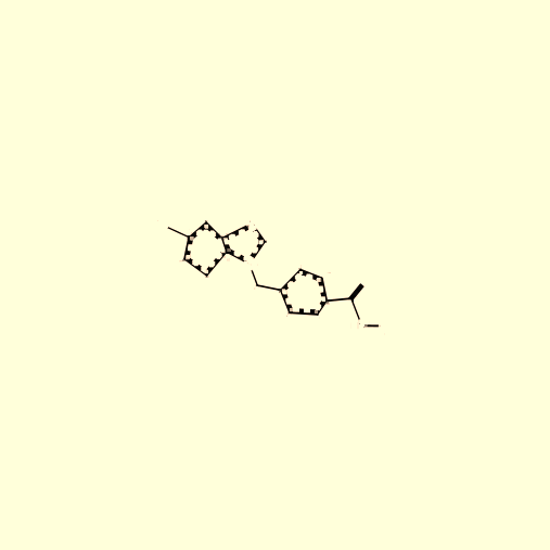 O=C(NO)c1ccc(Cn2cnc3cc(F)ccc32)cc1